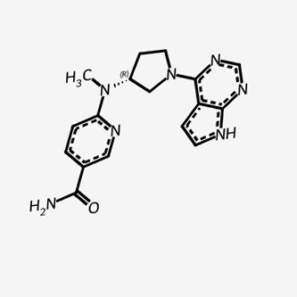 CN(c1ccc(C(N)=O)cn1)[C@@H]1CCN(c2ncnc3[nH]ccc23)C1